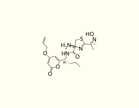 C=CCOc1cc([C@@H](CCC)NC(=O)[C@]2(N)CSC(/C(C)=N\O)=N2)oc(=O)c1